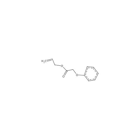 C=CCOC(=O)COc1ccccc1